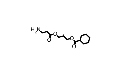 NCCC(=O)OC[CH]COC(=O)C1CCCCC1